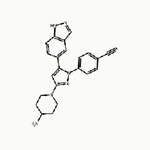 N#Cc1ccc(-n2nc(N3CCC(N)CC3)cc2-c2ccc3[nH]ncc3c2)cc1